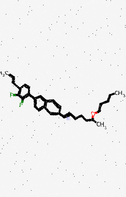 C=CCc1ccc(-c2ccc3cc(/C=C/CCCC(C)OCCCCC)ccc3c2)c(F)c1F